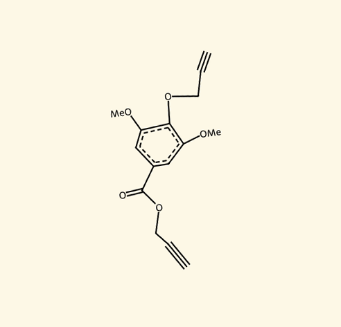 C#CCOC(=O)c1cc(OC)c(OCC#C)c(OC)c1